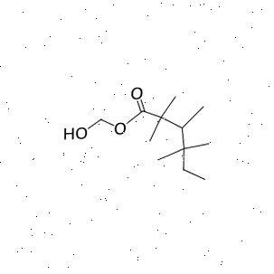 CCC(C)(C)C(C)C(C)(C)C(=O)OCO